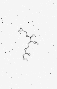 C=CC(=O)OCC=C(C)C(=O)OCC1CO1